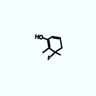 CC1=C(O)C=CCC1(C)F